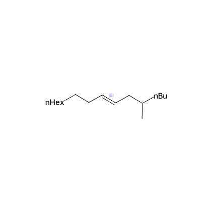 [CH2]CCCCCCC/C=C/CC(C)CCC[CH2]